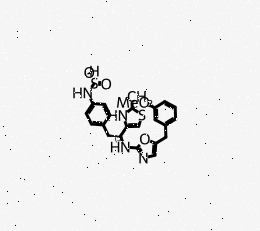 COc1cccc(Cc2cnc(N[C@@H](Cc3ccc(N[SH](=O)=O)cc3)C3=CSC(C)N3)o2)c1